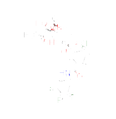 C[C@H](O)[C@H](O)[C@@]1(O)C2C[C@@H](S(=O)(=O)c3cc(C(=O)Nc4cc(F)c(F)c(F)c4)ccc3Cl)CC1[C@@H](C)C2